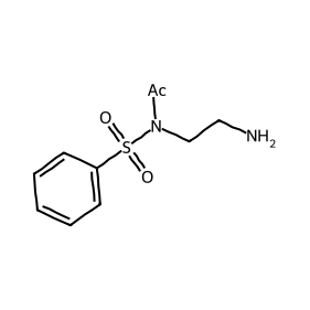 CC(=O)N(CCN)S(=O)(=O)c1ccccc1